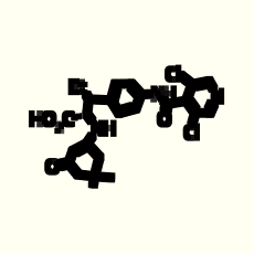 CCC(c1ccc(NC(=O)c2c(Cl)cncc2Cl)cc1)[C@H](NC1=CC(=O)CC(C)(C)C1)C(=O)O